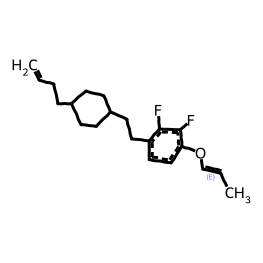 C=CCCC1CCC(CCc2ccc(O/C=C/C)c(F)c2F)CC1